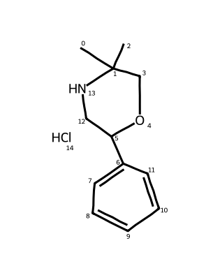 CC1(C)COC(c2ccccc2)CN1.Cl